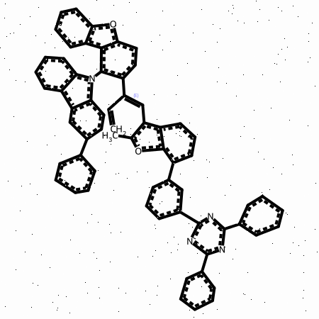 C=C/C(=C\c1c(C)oc2c(-c3cccc(-c4nc(-c5ccccc5)nc(-c5ccccc5)n4)c3)cccc12)c1ccc2oc3ccccc3c2c1-n1c2ccccc2c2cc(-c3ccccc3)ccc21